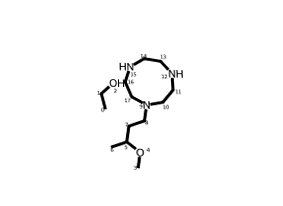 CCO.COC(C)CCN1CCNCCNCC1